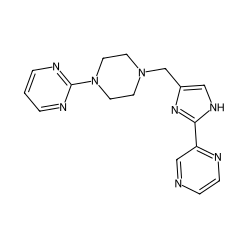 c1cnc(N2CCN(Cc3c[nH]c(-c4cnccn4)n3)CC2)nc1